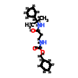 CC(C)(NC(=O)CCNC(=O)OCc1ccccc1)c1ccccc1